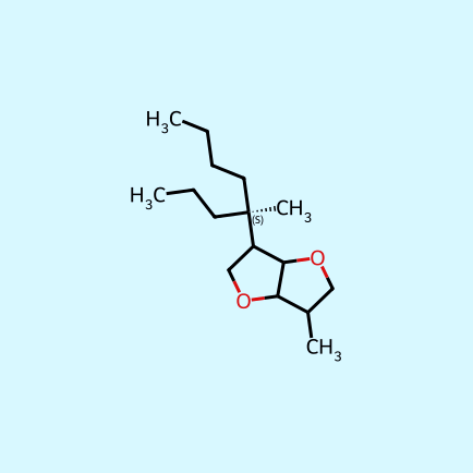 CCCC[C@](C)(CCC)C1COC2C(C)COC21